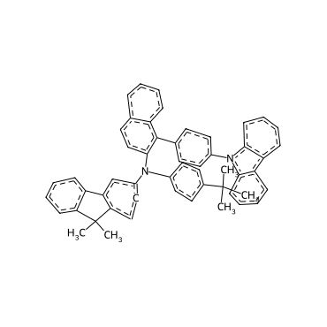 CC(C)(C)c1ccc(N(c2ccc3c(c2)-c2ccccc2C3(C)C)c2ccc3ccccc3c2-c2ccc(-n3c4ccccc4c4ccccc43)cc2)cc1